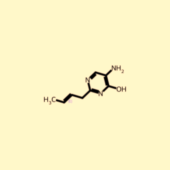 C/C=C/Cc1ncc(N)c(O)n1